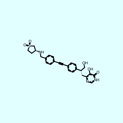 O=c1[nH]cnc(C[C@@H](CO)c2ccc(C#Cc3ccc(CN[C@H]4CCS(=O)(=O)C4)cc3)cc2)c1O